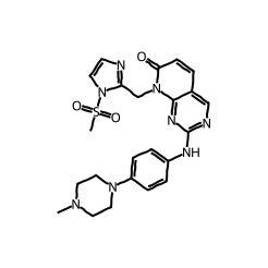 CN1CCN(c2ccc(Nc3ncc4ccc(=O)n(Cc5nccn5S(C)(=O)=O)c4n3)cc2)CC1